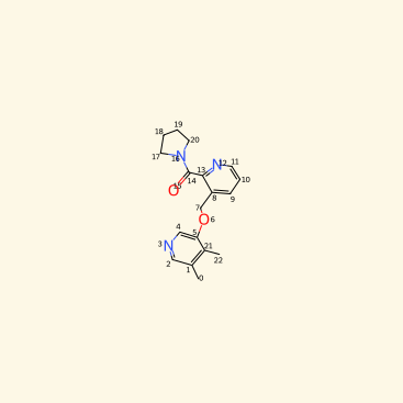 Cc1cncc(OCc2cccnc2C(=O)N2CCCC2)c1C